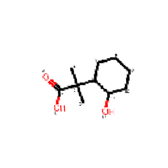 CC(C)(C(=O)O)C1CCCCC1O